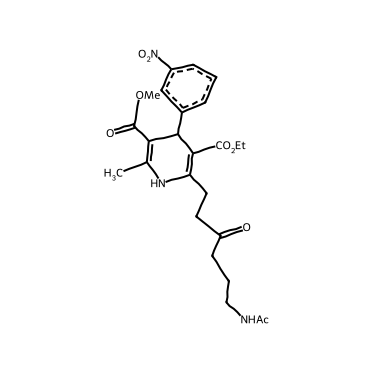 CCOC(=O)C1=C(CCC(=O)CCCNC(C)=O)NC(C)=C(C(=O)OC)C1c1cccc([N+](=O)[O-])c1